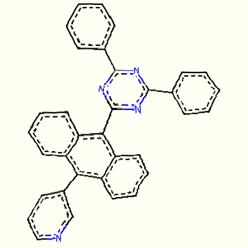 c1ccc(-c2nc(-c3ccccc3)nc(-c3c4ccccc4c(-c4cccnc4)c4ccccc34)n2)cc1